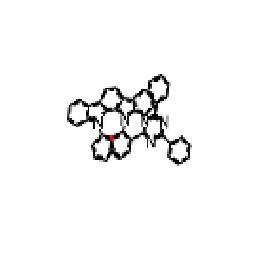 c1ccc(-c2nc(-c3ccccc3)nc(-c3ccccc3-n3c4ccccc4c4ccc5c6ccccc6n(-c6ccccc6)c5c43)n2)cc1